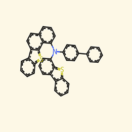 c1ccc(-c2ccc(N(c3cccc4c3sc3ccccc34)c3cccc4ccc5c6ccccc6sc5c34)cc2)cc1